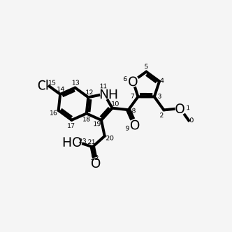 COCc1ccoc1C(=O)c1[nH]c2cc(Cl)ccc2c1CC(=O)O